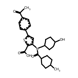 CC(=O)c1ccc(-c2cc(N(C(=O)C3CCC(C)CC3)C3CCC(O)CC3)c(C(=O)O)s2)cc1